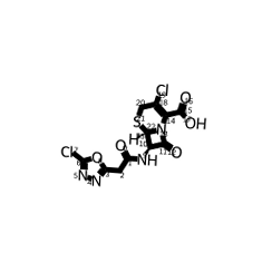 O=C(Cc1nnc(Cl)o1)N[C@@H]1C(=O)N2C(C(=O)O)=C(Cl)CS[C@H]12